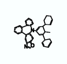 CC1C(C2C=CC=CC2)=CC(N2c3ccccc3-c3ccccc3-c3cc4ncoc4cc32)=CC1C1C=CCCC1